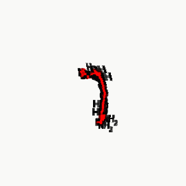 Cc1ncsc1-c1ccc(CNC(=O)[C@@H]2C[C@@H](O)CN2C(=O)[C@@H](NC(=O)CCOCCOCCOCCOCCOCCNC(=O)CCCC(=O)Nc2cc3cc(-c4cncc(N)c4C)c(F)c(N)c3cn2)C(C)(C)C)cc1